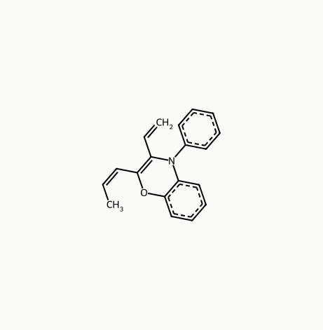 C=CC1=C(/C=C\C)Oc2ccccc2N1c1ccccc1